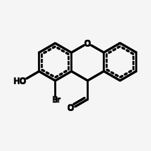 O=CC1c2ccccc2Oc2ccc(O)c(Br)c21